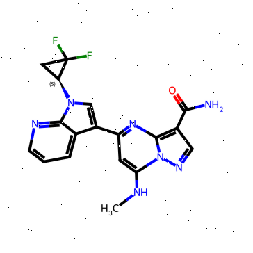 CNc1cc(-c2cn([C@H]3CC3(F)F)c3ncccc23)nc2c(C(N)=O)cnn12